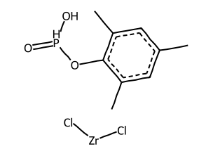 Cc1cc(C)c(O[PH](=O)O)c(C)c1.[Cl][Zr][Cl]